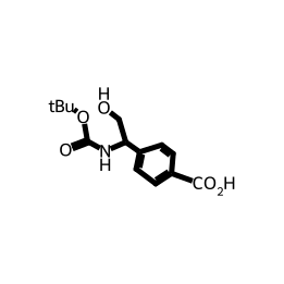 CC(C)(C)OC(=O)NC(CO)c1ccc(C(=O)O)cc1